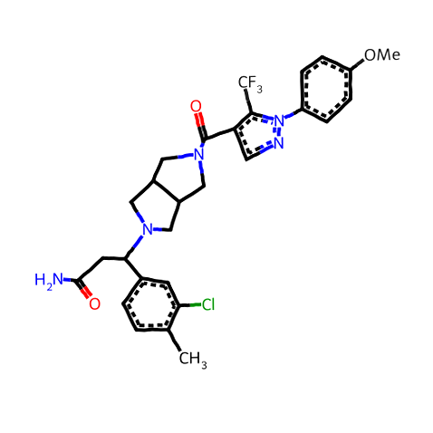 COc1ccc(-n2ncc(C(=O)N3CC4CN(C(CC(N)=O)c5ccc(C)c(Cl)c5)CC4C3)c2C(F)(F)F)cc1